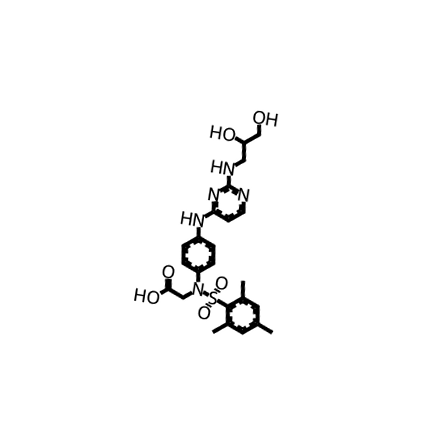 Cc1cc(C)c(S(=O)(=O)N(CC(=O)O)c2ccc(Nc3ccnc(NCC(O)CO)n3)cc2)c(C)c1